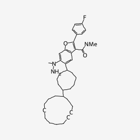 CNC(=O)c1c(-c2ccc(F)cc2)oc2cc(N(C)N)c(C3CCCCC(C4CCCCCCCCCCCC4)CCC3)cc12